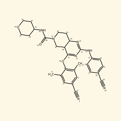 Cc1cc(C#N)cc(C)c1OC1=NC(Nc2ccc(C#N)cc2)=NC2CCN(C(=O)NC3CCOCC3)CC12